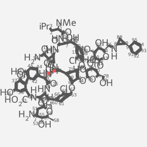 CN[C@H](CC(C)C)C(=O)N[C@H]1C(=O)N[C@@H](CC(N)=O)C(=O)N[C@H]2C(=O)N[C@H]3C(=O)N[C@H](C(=O)N[C@@H](C(=O)O)c4cc(O)cc(O)c4-c4cc3ccc4O)[C@H](OC3C[C@](C)(N)[C@@H](O)[C@H](C)O3)c3ccc(c(Cl)c3)Oc3cc2cc(c3O[C@@H]2O[C@H](CO)[C@@H](O[C@@H]3O[C@H](CN[C@@H]4C[C@H]4c4ccccc4)[C@H](O)[C@H](O)[C@H]3O)[C@H](O)[C@H]2O)Oc2ccc(cc2Cl)[C@H]1O